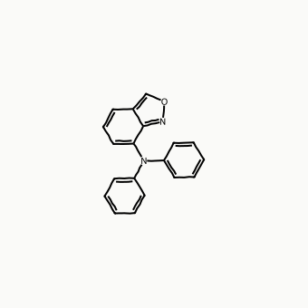 c1ccc(N(c2ccccc2)c2cccc3conc23)cc1